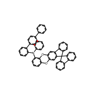 c1ccc(-c2ccc(-c3ccccc3N(c3ccccc3)c3cccc4c3Oc3cc5c(cc3O4)C3(c4ccccc4-c4ccccc43)c3ccccc3-5)cc2)cc1